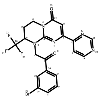 O=C(CN1c2nc(-c3ccncn3)cc(=O)n2CCC1C(F)(F)F)c1cccc(Br)c1